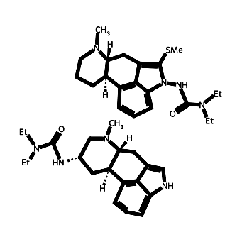 CCN(CC)C(=O)N[C@H]1C[C@@H]2c3cccc4[nH]cc(c34)C[C@H]2N(C)C1.CCN(CC)C(=O)Nn1c(SC)c2c3c(cccc31)[C@H]1CCCN(C)[C@@H]1C2